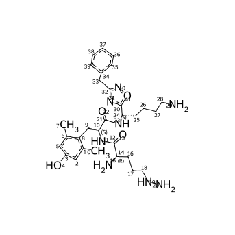 Cc1cc(O)cc(C)c1C[C@H](NC(=O)[C@H](N)CCCNN)C(=O)N[C@@H](CCCCN)c1nc(Cc2ccccc2)no1